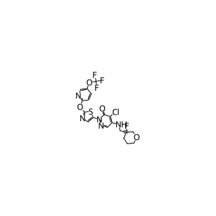 O=c1c(Cl)c(NC[C@@]2(F)CCCOC2)cnn1-c1cnc(Oc2ccc(OC(F)(F)F)cn2)s1